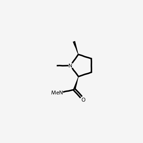 CNC(=O)[C@@H]1CC[C@H](C)N1C